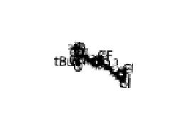 CC(C)(C)OC(=O)NC1(CCc2ccc(OCCCc3cc(Cl)cc(Cl)c3)c(C(F)(F)F)c2)COC(C)(C)OC1